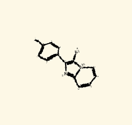 CCc1c(-c2ccc(C)cc2)nc2ccccn12